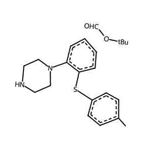 CC(C)(C)OC=O.Cc1ccc(Sc2ccccc2N2CCNCC2)cc1